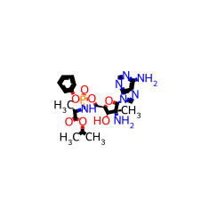 CC(C)OC(=O)[C@@H](C)N[P@@](=O)(OC[C@H]1O[C@@H](n2cnc3c(N)ncnc32)[C@](C)(N)[C@@H]1O)Oc1ccccc1